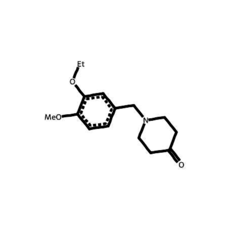 CCOc1cc(CN2CCC(=O)CC2)ccc1OC